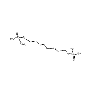 O=P(O)(O)OCCOCCOCCOP(=O)(O)O